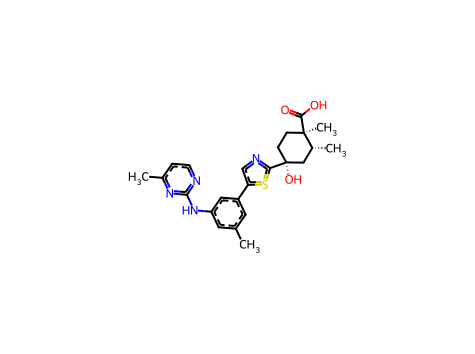 Cc1cc(Nc2nccc(C)n2)cc(-c2cnc([C@@]3(O)CC[C@@](C)(C(=O)O)[C@H](C)C3)s2)c1